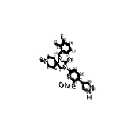 COc1nc(N2CC3(CCN(C)CC3)N(Cc3cccc(F)c3C)C2=O)ccc1C1C=NNC1